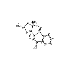 N[C@@]12CC=C3C(=CC(=O)c4ccccc43)[C@H]1C[C@H](O)C2